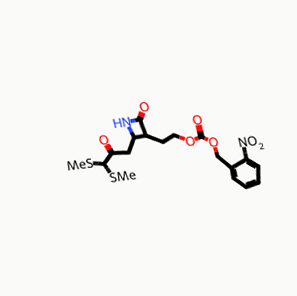 CSC(SC)C(=O)CC1NC(=O)C1CCOC(=O)OCc1ccccc1[N+](=O)[O-]